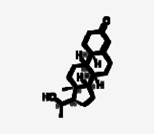 C[C@@H](O)[C@H]1CC[C@H]2[C@@H]3CCC4=CC(=O)CC[C@@H]4[C@H]3CC[C@]12C